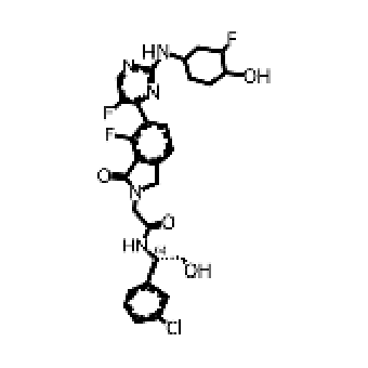 O=C(CN1Cc2ccc(-c3nc(NC4CCC(O)C(F)C4)ncc3F)c(F)c2C1=O)N[C@H](CO)c1cccc(Cl)c1